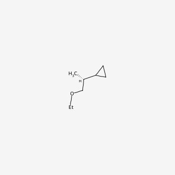 CCOC[C@H](C)C1CC1